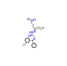 CCN(CC)CCC/C(=N\NC1=Nc2ccc(Cl)cc2C(c2ccccc2)=NC1)C(=O)O